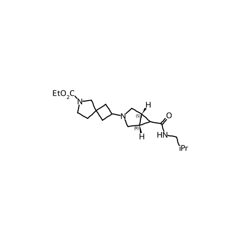 CCOC(=O)N1CCC2(CC(N3C[C@@H]4C(C(=O)NCC(C)C)[C@@H]4C3)C2)C1